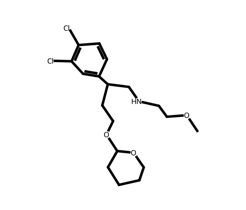 COCCNCC(CCOC1CCCCO1)c1ccc(Cl)c(Cl)c1